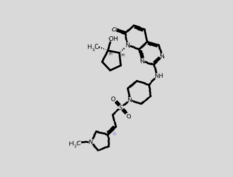 CN1CC/C(=C/CS(=O)(=O)N2CCC(Nc3ncc4ccc(=O)n([C@@H]5CCC[C@@]5(C)O)c4n3)CC2)C1